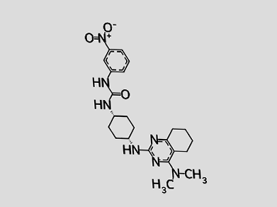 CN(C)c1nc(N[C@H]2CC[C@@H](NC(=O)Nc3cccc([N+](=O)[O-])c3)CC2)nc2c1CCCC2